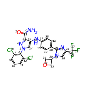 NC(=O)c1nn(-c2c(Cl)cccc2Cl)cc1Nc1ccc(-c2nc(C(F)(F)F)cn2C2COC2)cc1